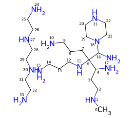 CNCCC(N)C(CCCN)(NCCCN)C(N)N1CCNCC1.NCCNCCNCCN